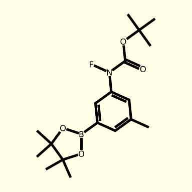 Cc1cc(B2OC(C)(C)C(C)(C)O2)cc(N(F)C(=O)OC(C)(C)C)c1